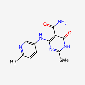 CSc1nc(Nc2ccc(C)nc2)c(C(N)=O)c(=O)[nH]1